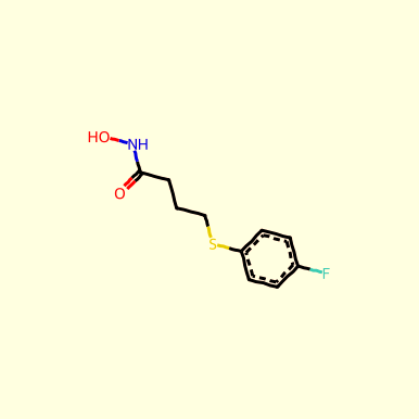 O=C(CCCSc1ccc(F)cc1)NO